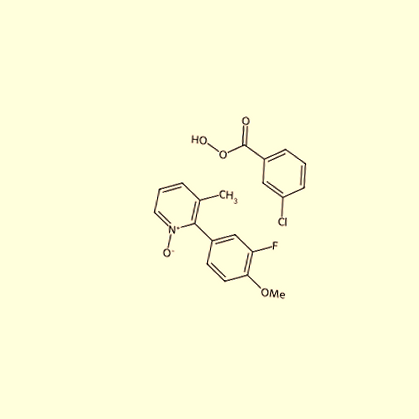 COc1ccc(-c2c(C)ccc[n+]2[O-])cc1F.O=C(OO)c1cccc(Cl)c1